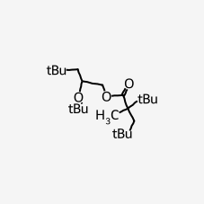 CC(C)(C)CC(COC(=O)C(C)(CC(C)(C)C)C(C)(C)C)OC(C)(C)C